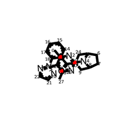 Cc1nc(N2C3CCC2CN(C(=O)c2ccccc2-n2nccn2)C3)nc(C)c1C